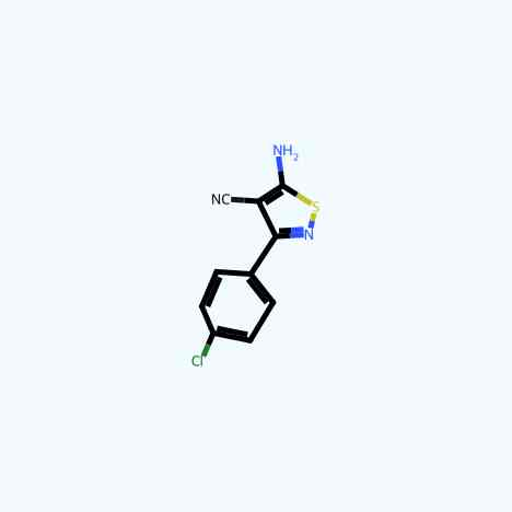 N#Cc1c(-c2ccc(Cl)cc2)nsc1N